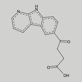 O=C(O)CCC(=O)c1ccc2[nH]c3ncccc3c2c1